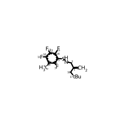 C=C(CNSc1c(F)c(C)c(F)c(F)c1F)CC(C)(C)C